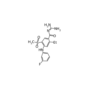 CCc1cc(Nc2cccc(F)c2)c(S(C)(=O)=O)cc1C(=O)N=C(N)N